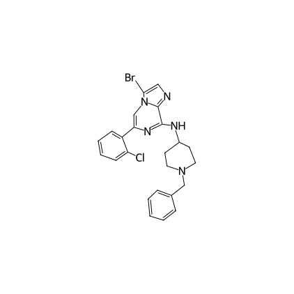 Clc1ccccc1-c1cn2c(Br)cnc2c(NC2CCN(Cc3ccccc3)CC2)n1